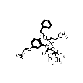 CCCS(=O)(=O)N(C(=O)OC(C)(C)C)c1cc(OC[C@H]2CO2)ccc1OCc1ccccc1